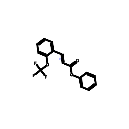 O=C(/C=C/c1ccccc1OC(F)(F)F)Oc1ccccc1